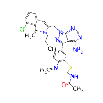 C=Nc1ccc(-c2nn(CC3=Cc4cccc(Cl)c4C(=C)N3CCC)c3ncnc(N)c23)cc1SCNC(C)=O